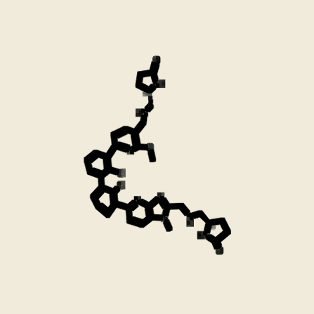 COc1nc(-c2cccc(-c3cccc(-c4ccc5c(n4)nc(CNC[C@H]4CCC(=O)N4)n5C)c3Cl)c2Cl)ccc1CNC[C@@H]1CCC(=O)N1